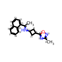 Cc1noc(C2CC(N[C@H](C)c3cccc4ccccc34)C2)n1